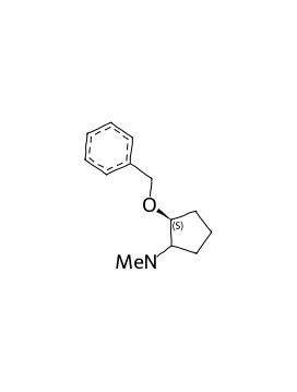 CNC1CCC[C@@H]1OCc1ccccc1